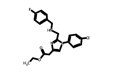 CCOC(=O)Cc1cn(-c2ccc(Cl)cc2)c(CNCc2ccc(F)cc2)n1